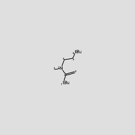 C=C(N(C)CCC(C)(C)C)C(C)(C)C